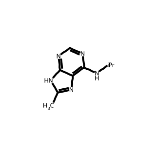 Cc1nc2c(NC(C)C)ncnc2[nH]1